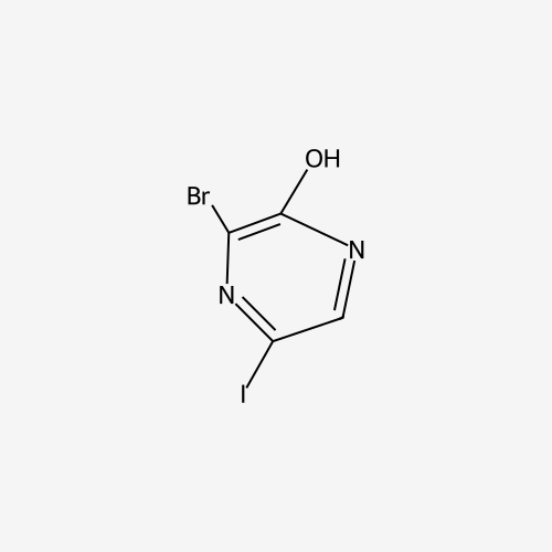 Oc1ncc(I)nc1Br